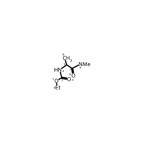 CCOC(=O)NC(C)C(=O)NC